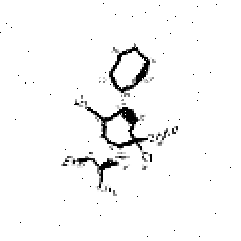 CCOC(C)=C[C@@H]1CC(O)C([C@H]2C=CCCC2)=CC1(O)OC